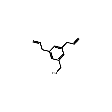 C=CCc1cc(CO)cc(CC=C)c1